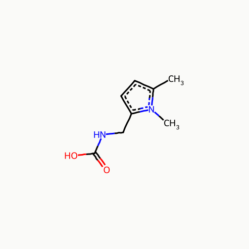 Cc1ccc(CNC(=O)O)n1C